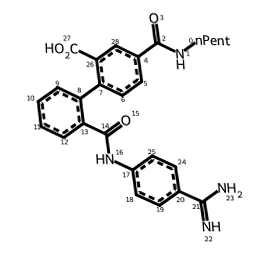 CCCCCNC(=O)c1ccc(-c2ccccc2C(=O)Nc2ccc(C(=N)N)cc2)c(C(=O)O)c1